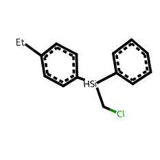 CCc1ccc([SiH](CCl)c2ccccc2)cc1